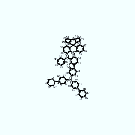 C1=CCC(c2ccc(N(c3ccc(-c4ccccc4)cc3)c3ccc4c(c3)oc3c(N(c5ccccc5)c5cccc6c5Sc5ccccc5C65c6ccccc6-c6ccccc65)cccc34)cc2)C=C1